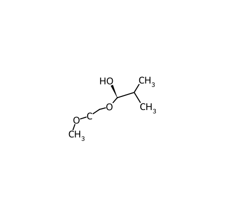 COCCO[C@@H](O)C(C)C